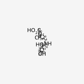 CC(NCCc1ccc(OCC(=O)O)c(Cl)c1)C(O)c1ccc(O)cc1